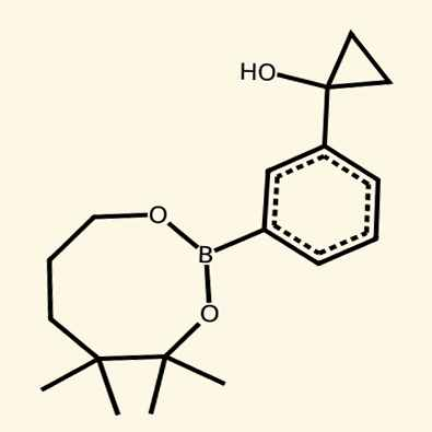 CC1(C)CCCOB(c2cccc(C3(O)CC3)c2)OC1(C)C